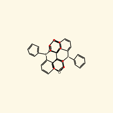 c1ccc(P(c2ccccc2)c2cccc3c2C(C2OCOc4cccc(P(c5ccccc5)c5ccccc5)c42)OCO3)cc1